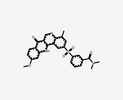 COc1ccc2c(=O)c3cnc4c(C)cc(S(=O)(=O)c5cccc(C(=O)N(C)C)c5)cc4c3[nH]c2c1